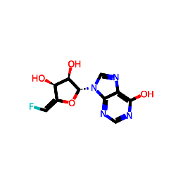 Oc1ncnc2c1ncn2[C@@H]1O/C(=C/F)[C@@H](O)[C@H]1O